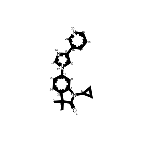 CC1(C)C(=O)N(C2CC2)c2cc(-n3cnc(-c4cccnc4)c3)ccc21